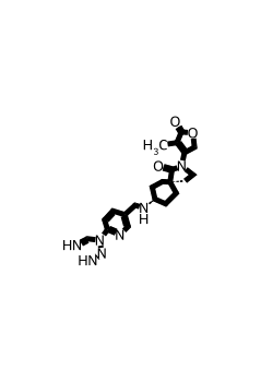 CC1=C(N2CC[C@]3(CC[C@@H](NCc4ccc(N(C=N)N=N)nc4)CC3)C2=O)COC1=O